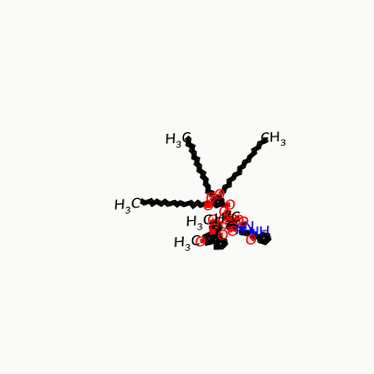 CCCCCCCCCCCCCCCCCCOc1cc(C(=O)OCC(=O)O[C@@]2(O)[C@@H](COC(c3ccccc3)(c3ccc(OC)cc3)c3ccc(OC)cc3)O[C@@H](n3ccc(NC(=O)c4ccccc4)nc3=O)[C@@H]2OC)cc(OCCCCCCCCCCCCCCCCCC)c1OCCCCCCCCCCCCCCCCCC